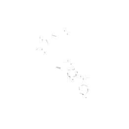 CCCNc1nc(Nc2ccnc(OC)c2)ncc1C#CCCCNC(=O)[C@@H]1CCCN1C(=O)C=CCN(C)C